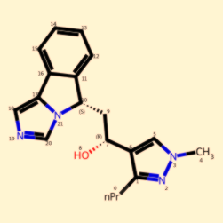 CCCc1nn(C)cc1[C@H](O)C[C@H]1c2ccccc2-c2cncn21